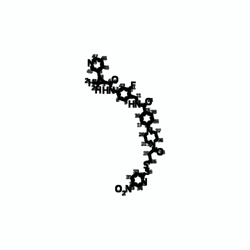 [2H]C1([2H])C(C(=O)Nc2ccc(CNC(=O)c3ccc(N4CCN(C(=O)CCSSc5ccc([N+](=O)[O-])cn5)CC4)cc3)c(F)c2)C1c1cccnc1